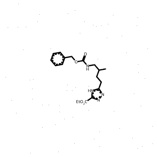 CCOC(=O)c1nnc(CCC(C)CNC(=O)OCc2ccccc2)[nH]1